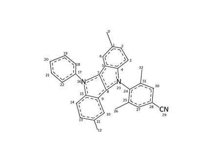 Cc1ccc2c(c1)c1c(c3cc(C)ccc3n1-c1ccccc1)n2-c1c(C)cc(C#N)cc1C